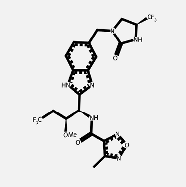 CO[C@@H](CC(F)(F)F)[C@H](NC(=O)c1nonc1C)c1nc2cc(CN3C[C@@H](C(F)(F)F)NC3=O)ccc2[nH]1